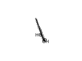 CCCCCCCCCCCCCCCCCCC(O)CCCCCCC(=O)O